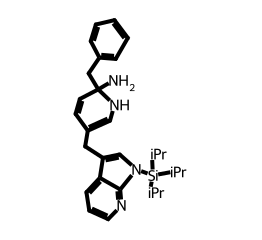 CC(C)[Si](C(C)C)(C(C)C)n1cc(CC2=CNC(N)(Cc3ccccc3)C=C2)c2cccnc21